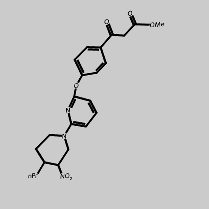 CCCC1CCN(c2cccc(Oc3ccc(C(=O)CC(=O)OC)cc3)n2)CC1[N+](=O)[O-]